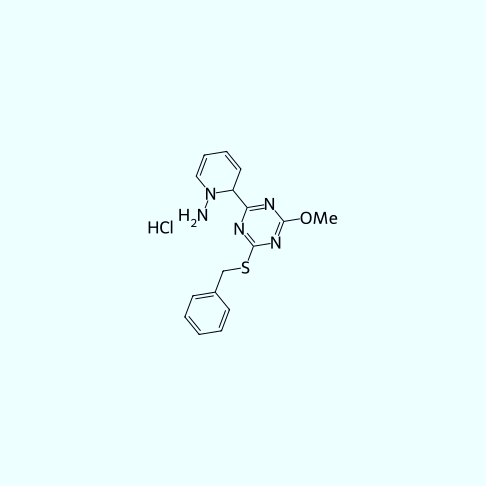 COc1nc(SCc2ccccc2)nc(C2C=CC=CN2N)n1.Cl